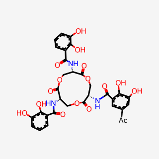 CC(=O)c1cc(O)c(O)c(C(=O)N[C@H]2COC(=O)[C@@H](NC(=O)c3cccc(O)c3O)COC(=O)[C@@H](NC(=O)c3cccc(O)c3O)COC2=O)c1